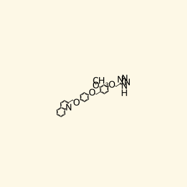 COc1cc(OCc2nnn[nH]2)ccc1COc1ccc(OCc2ccc3ccccc3n2)cc1